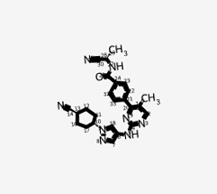 Cc1cnc(Nc2cnn([C@H]3CC[C@H](C#N)CC3)c2)nc1-c1ccc(C(=O)N[C@@H](C)C#N)cc1